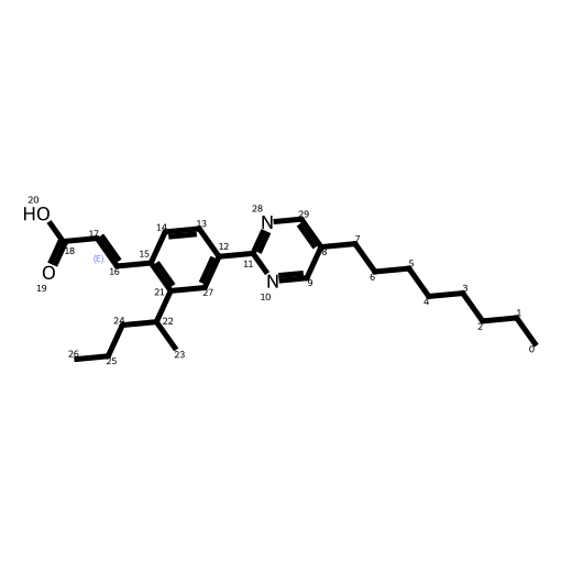 CCCCCCCCc1cnc(-c2ccc(/C=C/C(=O)O)c(C(C)CCC)c2)nc1